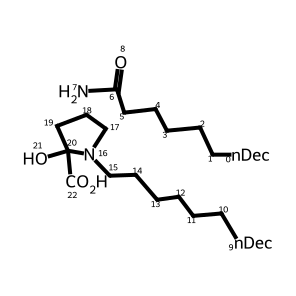 CCCCCCCCCCCCCCCC(N)=O.CCCCCCCCCCCCCCCCN1CCCC1(O)C(=O)O